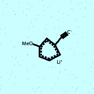 [C-]#Cc1cccc(OC)c1.[Li+]